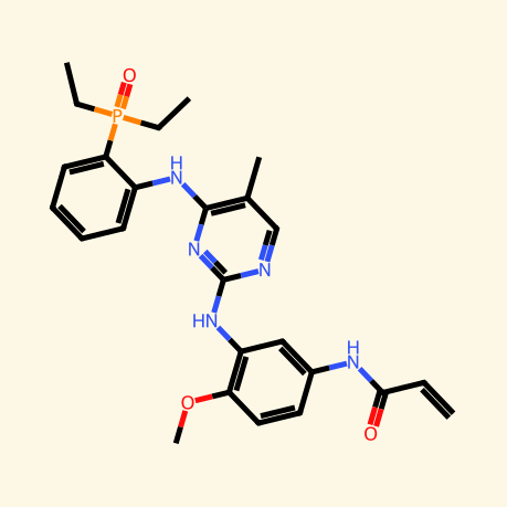 C=CC(=O)Nc1ccc(OC)c(Nc2ncc(C)c(Nc3ccccc3P(=O)(CC)CC)n2)c1